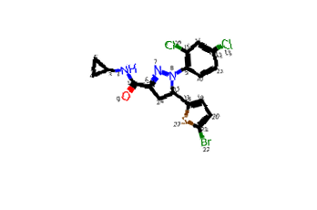 O=C(NC1CC1)C1=NN(c2ccc(Cl)cc2Cl)C(c2ccc(Br)s2)C1